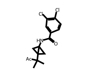 CC(=O)C(C)(C)C12CC1(NC(=O)c1ccc(Cl)c(Cl)c1)C2